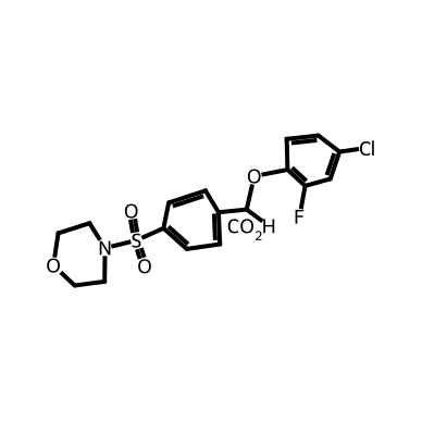 O=C(O)C(Oc1ccc(Cl)cc1F)c1ccc(S(=O)(=O)N2CCOCC2)cc1